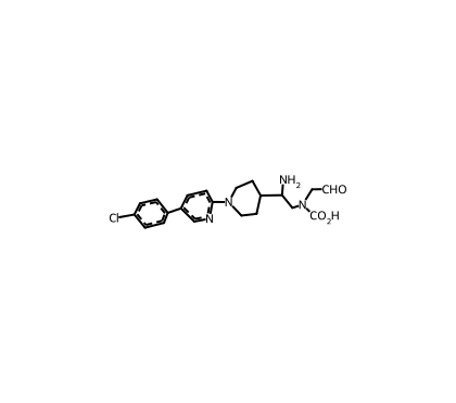 NC(CN(CC=O)C(=O)O)C1CCN(c2ccc(-c3ccc(Cl)cc3)cn2)CC1